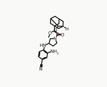 COC(=O)C12CC3CC(C1)C(OC(=O)N1CCC(Nc4ccc(C#N)cc4N)C1)[C@H](C3)C2